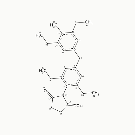 CCc1cc(Cc2cc(CC)c(N3C(=O)CCC3=O)c(CC)c2)cc(CC)c1C